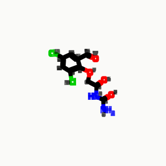 NC(=O)NC(=O)COc1c(Cl)cc(Cl)cc1C=O